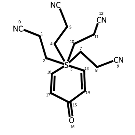 N#CCCS1(CCC#N)(CCC#N)(CCC#N)C=CC(=O)C=C1